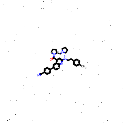 Cc1ccc(CCNc2cc(C(=O)N3CCC[C@H]3CN3CCCC3)c3cc(-c4ccc(C#N)cc4)ccc3n2)cc1